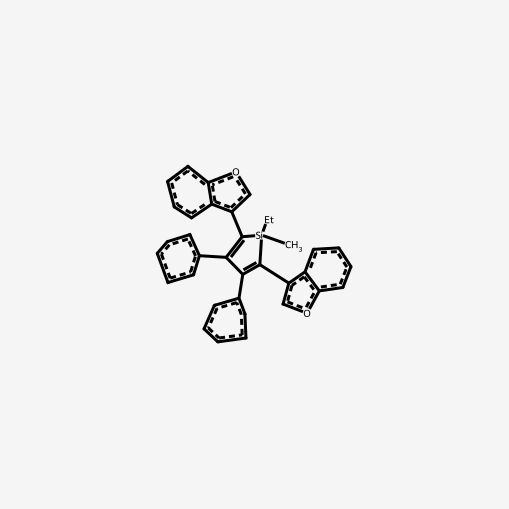 CC[Si]1(C)C(c2coc3ccccc23)=C(c2ccccc2)C(c2ccccc2)=C1c1coc2ccccc12